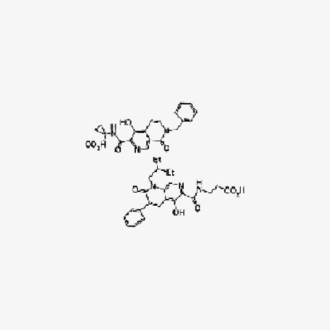 CCC(CC)Cn1c(=O)c(-c2ccccc2)cc2c(O)c(C(=O)NCCC(=O)O)ncc21.O=C(NC1(C(=O)O)CC1)c1ncc2c(=O)n(Cc3ccccc3)ccc2c1O